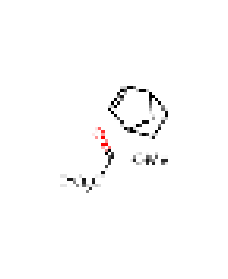 C1=CC2CCC1C2.CCOC(=O)C(=O)OC